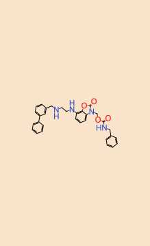 O=C(NCc1ccccc1)OCn1c(=O)oc2c(NCCNCc3cccc(-c4ccccc4)c3)cccc21